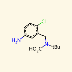 CC(C)(C)N(Cc1cc(N)ccc1Cl)C(=O)O